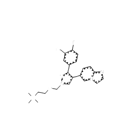 C[Si](C)(C)CCOCn1cc(-c2ccc3nccn3c2)c(-c2ccc(F)c(Cl)c2)n1